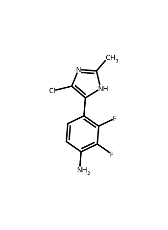 Cc1nc(Cl)c(-c2ccc(N)c(F)c2F)[nH]1